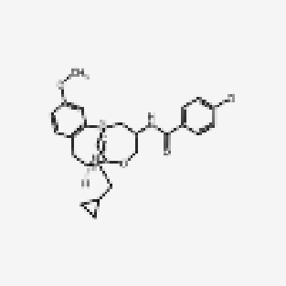 COc1ccc2c(c1)[C@]13CCN(CC4CC4)[C@H](C2)C(C1)OCC(NC(=O)c1ccc(Cl)cc1)C3